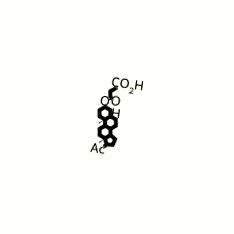 CC(=O)C1CCC2C3CC[C@@H]4C[C@@H](OC(=O)CCC(=O)O)CC[C@]4(C)C3CC[C@]12C